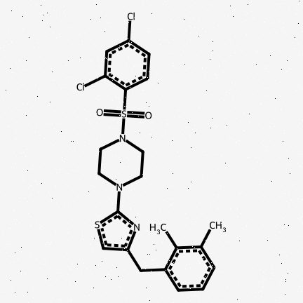 Cc1cccc(Cc2csc(N3CCN(S(=O)(=O)c4ccc(Cl)cc4Cl)CC3)n2)c1C